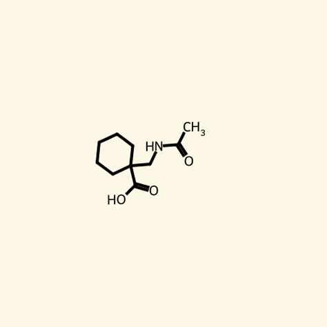 CC(=O)NCC1(C(=O)O)CCCCC1